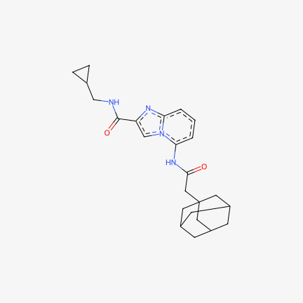 O=C(CC12CC3CC(CC(C3)C1)C2)Nc1cccc2nc(C(=O)NCC3CC3)cn12